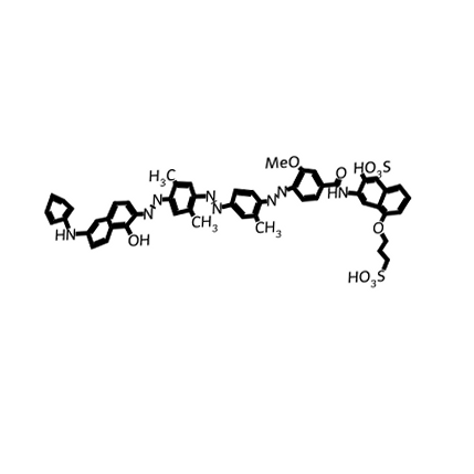 COc1cc(C(=O)Nc2cc3c(OCCCS(=O)(=O)O)cccc3cc2S(=O)(=O)O)ccc1N=Nc1ccc(N=Nc2cc(C)c(N=Nc3ccc4cc(Nc5ccccc5)ccc4c3O)cc2C)cc1C